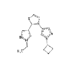 CCn1cc(C2SC=CN2c2cnn(C3CCC3)c2)cn1